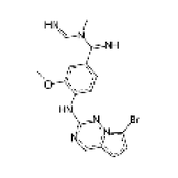 COc1cc(C(=N)N(C)C=N)ccc1Nc1ncc2ccc(Br)n2n1